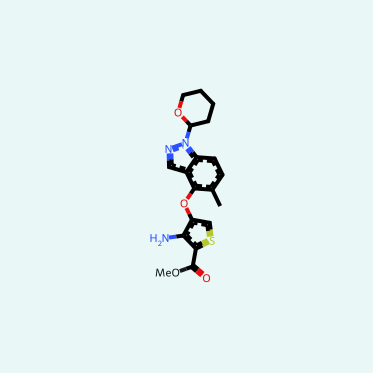 COC(=O)c1scc(Oc2c(C)ccc3c2cnn3C2CCCCO2)c1N